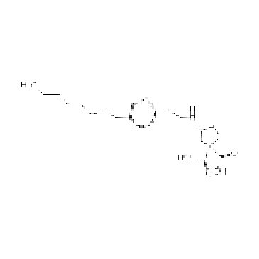 CCCCCCCCc1ccc(CCNC2CCC(C(=O)O)(C(=O)O)C2)cc1